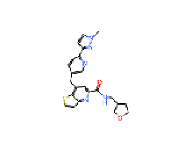 Cn1ccc(-c2ccc(Cc3cc(C(=O)NCC4CCOC4)nc4ccsc34)cn2)n1